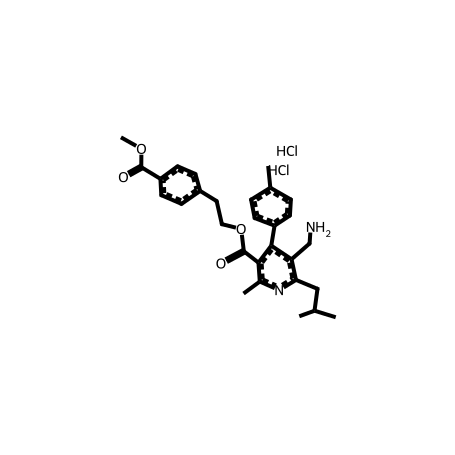 COC(=O)c1ccc(CCOC(=O)c2c(C)nc(CC(C)C)c(CN)c2-c2ccc(C)cc2)cc1.Cl.Cl